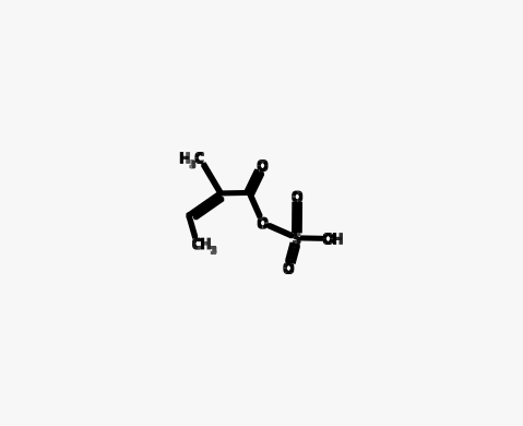 CC=C(C)C(=O)OS(=O)(=O)O